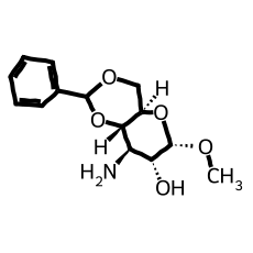 CO[C@H]1O[C@@H]2COC(c3ccccc3)O[C@H]2[C@H](N)[C@H]1O